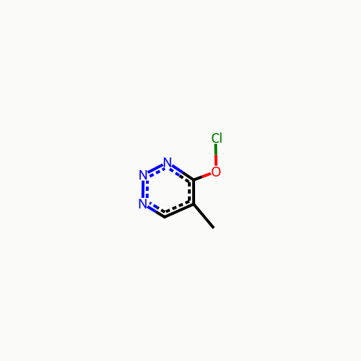 Cc1cnnnc1OCl